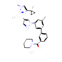 CCC[C@@H]1CCCCN1C(=O)c1cccc(-c2cc(C)cc(-n3ncc(C(=O)O)c3[C@H]3C[C@@]3(C)c3cn(C)nn3)c2)c1